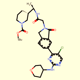 C[C@@H](NC(=O)CN1Cc2ccc(-c3nc(NC4CCOCC4)ncc3Cl)cc2C1=O)[C@H]1CCCN(C(=O)OC(C)(C)C)C1